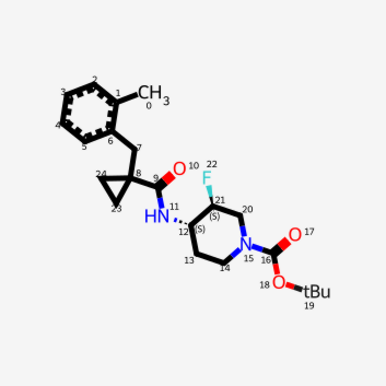 Cc1ccccc1CC1(C(=O)N[C@H]2CCN(C(=O)OC(C)(C)C)C[C@@H]2F)CC1